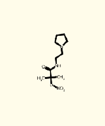 CC(C)(O[N+](=O)[O-])C(=O)NCCN1CCCC1